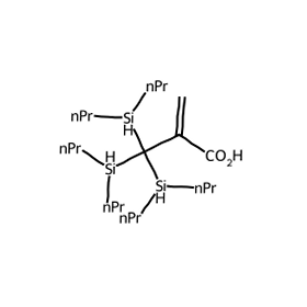 C=C(C(=O)O)C([SiH](CCC)CCC)([SiH](CCC)CCC)[SiH](CCC)CCC